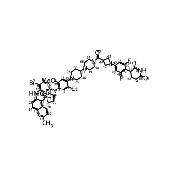 CCc1cc(Nc2ncc(Br)c(Nc3ccc4nc(C)ccc4c3[PH]3(O)CC=CC3)n2)c(OC)cc1N1CCC(N2CCN(C(=O)C3CN(c4cc(F)c(C5CCC(=O)NC5=O)c(F)c4)C3)CC2)CC1